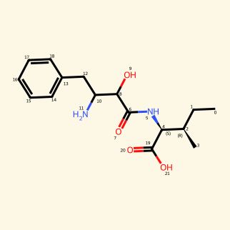 CC[C@@H](C)[C@H](NC(=O)C(O)C(N)Cc1ccccc1)C(=O)O